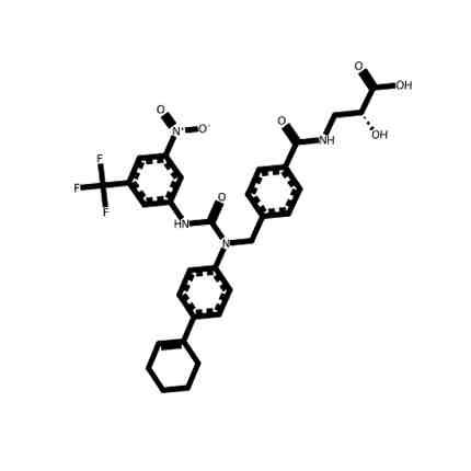 O=C(NC[C@@H](O)C(=O)O)c1ccc(CN(C(=O)Nc2cc([N+](=O)[O-])cc(C(F)(F)F)c2)c2ccc(C3=CCCCC3)cc2)cc1